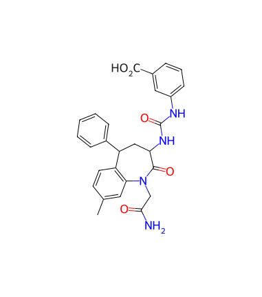 Cc1ccc2c(c1)N(CC(N)=O)C(=O)C(NC(=O)Nc1cccc(C(=O)O)c1)CC2c1ccccc1